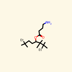 CCC(C)(C)CCC(OC(=O)CCCN)C(C)(C)C(C)(C)CC